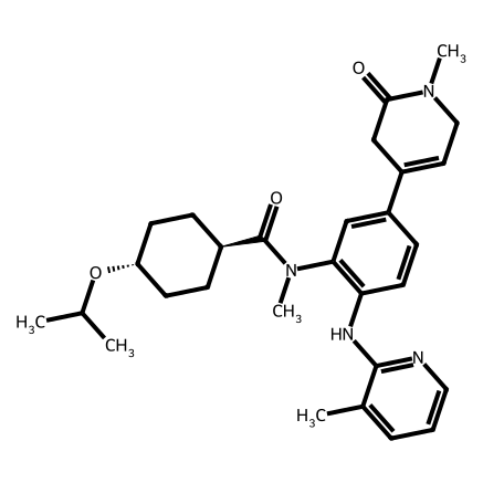 Cc1cccnc1Nc1ccc(C2=CCN(C)C(=O)C2)cc1N(C)C(=O)[C@H]1CC[C@H](OC(C)C)CC1